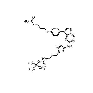 CC(C)(C)OC(=O)NCCCn1cc(Nc2ncc3scc(-c4ccc(OCCCCC(=O)O)cc4)c3n2)cn1